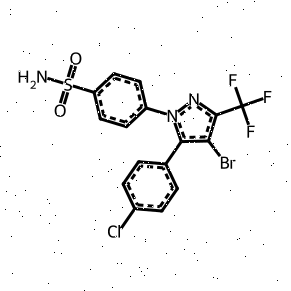 NS(=O)(=O)c1ccc(-n2nc(C(F)(F)F)c(Br)c2-c2ccc(Cl)cc2)cc1